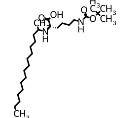 CCCCCCCCCCCCCCC(C)N[C@@H](CCCCNC(=O)OC(C)(C)C)C(=O)O